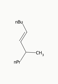 CCCC/C=C/C(C)CCC